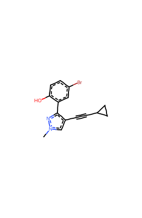 Cn1cc(C#CC2CC2)c(-c2cc(Br)ccc2O)n1